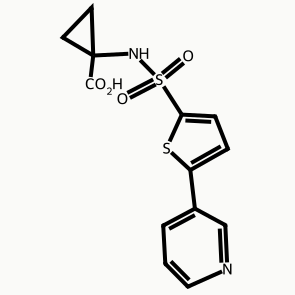 O=C(O)C1(NS(=O)(=O)c2ccc(-c3cccnc3)s2)CC1